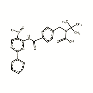 CC(C)(C)N(Cc1ccc(C(=O)Nc2nc(-c3ccccc3)ccc2[N+](=O)[O-])cc1)C(=O)O